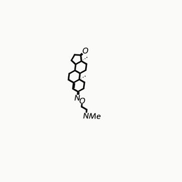 CNCCO/N=C1/C=C2CCC3C(CC[C@]4(C)C(=O)CCC34)[C@@]2(C)CC1